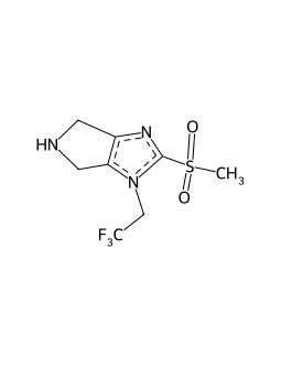 CS(=O)(=O)c1nc2c(n1CC(F)(F)F)CNC2